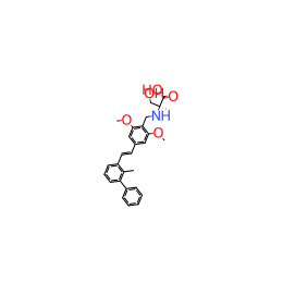 COc1cc(/C=C/c2cccc(-c3ccccc3)c2C)cc(OC)c1CN[C@@](C)(CO)C(=O)O